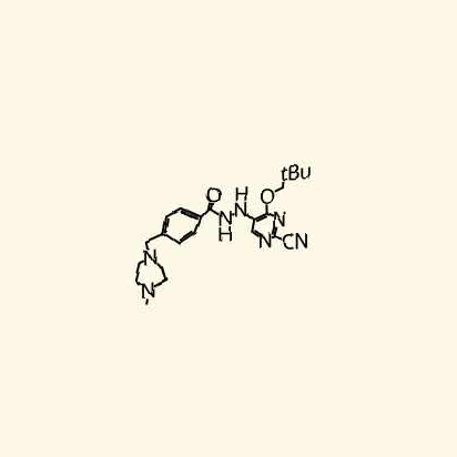 CN1CCN(Cc2ccc(C(=O)NNc3cnc(C#N)nc3OCC(C)(C)C)cc2)CC1